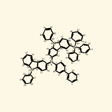 c1ccc(-c2ccc(N(c3ccc4c(c3)c3ccccc3n4-c3ccccc3)c3ccc4c(c3)c3cc([Si](c5ccccc5)(c5ccccc5)c5ccccc5)ccc3n4-c3ccccc3)cc2)cc1